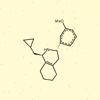 COc1cccc([C@@H]2CC3=C(CCCC3)[C@@H](CC3CC3)N2)c1